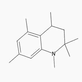 Cc1cc(C)c2c(c1)N(C)C(C)(C)CC2C